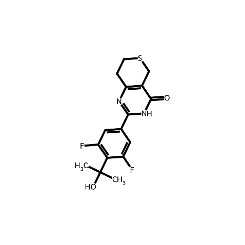 CC(C)(O)c1c(F)cc(-c2nc3c(c(=O)[nH]2)CSCC3)cc1F